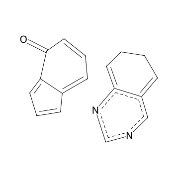 C1=c2cncnc2=CCC1.O=C1C=CC=C2C=CC=C12